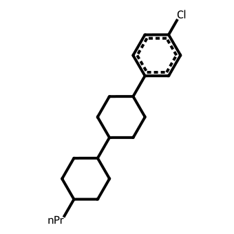 CCCC1CCC(C2CCC(c3ccc(Cl)cc3)CC2)CC1